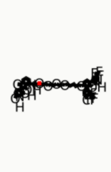 Cn1nc(C(F)(F)F)cc1-c1ccc(OCCCCCOCCOCCOCCOCCNc2cccc3c2C(O)C(C2CCC(=O)NC2=O)C3=O)c(-c2ccc(Cl)c(C(F)(F)F)c2)c1O